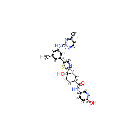 Cc1cc(Nc2nccc(C(F)(F)F)n2)cc(-c2cnc(C3(O)CCC(C(=O)Nc4ccc(O)nc4)CC3)s2)c1